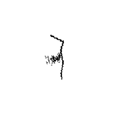 CCCCCCCC/C=C\CCCCCCCCN(CCCCCCCCCCCCCCCC)C(=O)CNC(=O)C(CCN)NC(=N)N